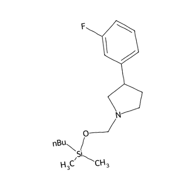 CCCC[Si](C)(C)OCN1CCC(c2cccc(F)c2)C1